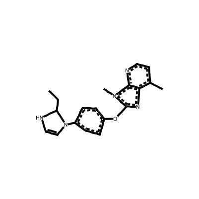 CCC1NC=CN1c1ccc(Oc2nc3c(C)ccnc3n2C)cc1